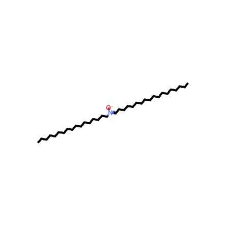 CCCCCCCCCCCCCCCCCC=[N+]([O-])CCCCCCCCCCCCCCCCC